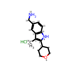 Cc1c(C2CCOCC2)[nH]c2ccc(CN)cc12.Cl